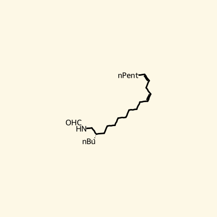 CCCCC/C=C\C/C=C\CCCCCCCC[C@H](CCCC)CNC=O